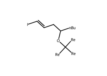 CCCCC(C/C=C/I)O[C]([Re])([Re])[Re]